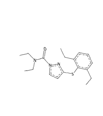 CCc1cccc(CC)c1Sc1ccn(C(=O)N(CC)CC)n1